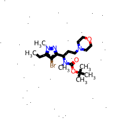 CCc1c(Br)c(C(CCN2CCOCC2)N(C)C(=O)OC(C)(C)C)nn1C